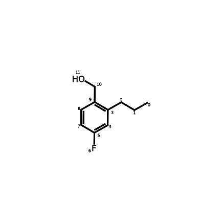 CCCc1cc(F)ccc1CO